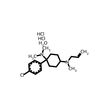 C=CCN(C)C1CCC(c2ccc(Cl)cc2)(N(C)C)CC1.Cl.Cl.O